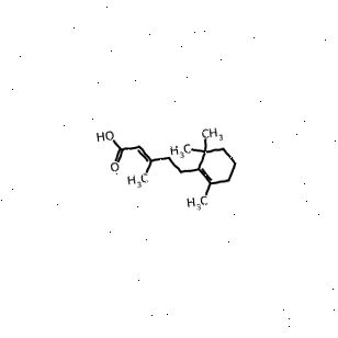 CC1=C(CC/C(C)=C/C(=O)O)C(C)(C)CCC1